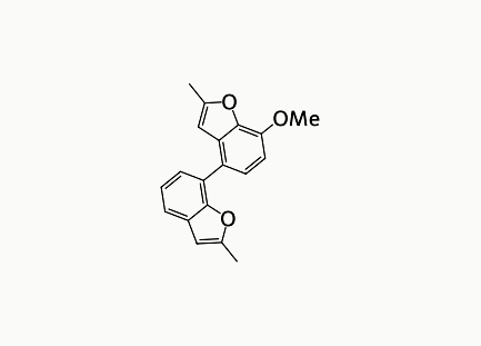 COc1ccc(-c2cccc3cc(C)oc23)c2cc(C)oc12